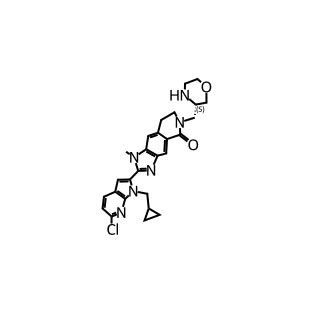 Cn1c(-c2cc3ccc(Cl)nc3n2CC2CC2)nc2cc3c(cc21)CCN(C[C@H]1COCCN1)C3=O